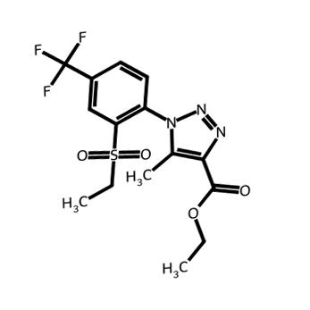 CCOC(=O)c1nnn(-c2ccc(C(F)(F)F)cc2S(=O)(=O)CC)c1C